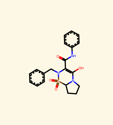 O=C(Nc1ccccc1)C1=C(O)N2CCCC2S(=O)(=O)N1Cc1ccccc1